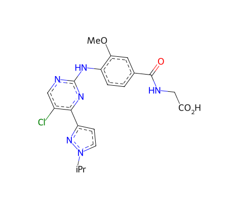 COc1cc(C(=O)NCC(=O)O)ccc1Nc1ncc(Cl)c(-c2ccn(C(C)C)n2)n1